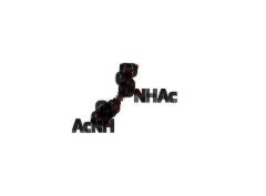 C#CCOc1ccc(C(=O)OCC(COc2ccc(C(C)(C)c3ccc(OCC(COC(=O)c4ccc(OCC#C)c(OCC#C)c4)OC(=O)CCCCCNC(C)=O)cc3)cc2)OC(=O)CCCCCNC(C)=O)cc1OCC#C